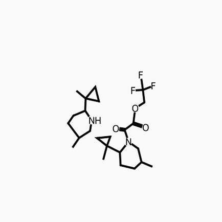 CC1CCC(C2(C)CC2)N(C(=O)C(=O)OCC(F)(F)F)C1.CC1CCC(C2(C)CC2)NC1